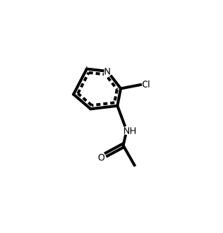 CC(=O)Nc1cc[c]nc1Cl